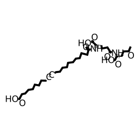 CC(=O)CC[C@H](NC(=O)CCC[C@H](NC(=O)CCCCCCCCCCCCCCCCCCCCC(=O)O)C(=O)O)C(=O)O